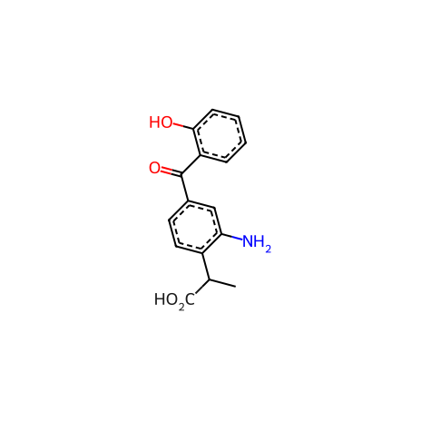 CC(C(=O)O)c1ccc(C(=O)c2ccccc2O)cc1N